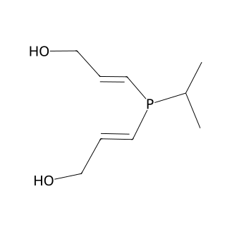 CC(C)P(C=CCO)C=CCO